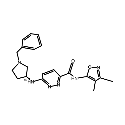 Cc1noc(NC(=O)c2ccc(N[C@H]3CCN(Cc4ccccc4)C3)nn2)c1C